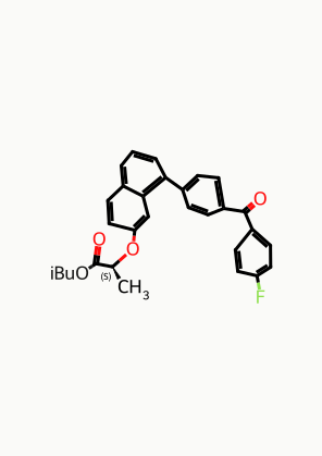 CC(C)COC(=O)[C@H](C)Oc1ccc2cccc(-c3ccc(C(=O)c4ccc(F)cc4)cc3)c2c1